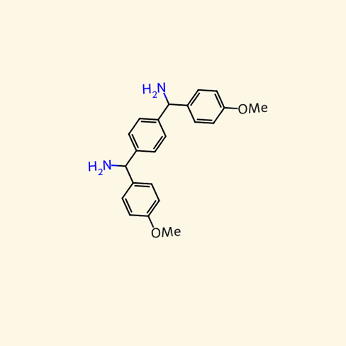 COc1ccc(C(N)c2ccc(C(N)c3ccc(OC)cc3)cc2)cc1